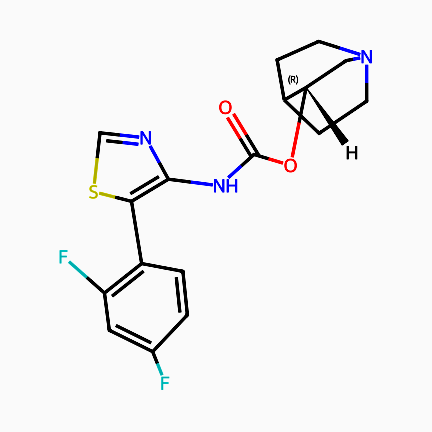 O=C(Nc1ncsc1-c1ccc(F)cc1F)O[C@H]1CN2CCC1CC2